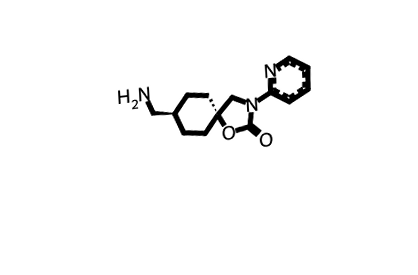 NC[C@H]1CC[C@]2(CC1)CN(c1ccccn1)C(=O)O2